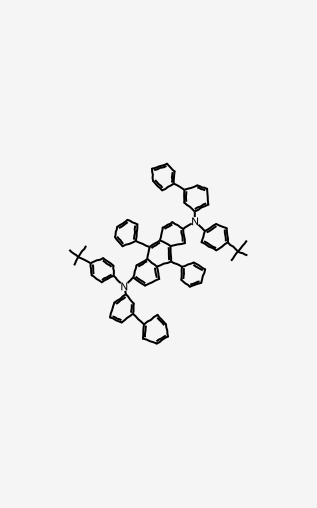 CC(C)(C)c1ccc(N(c2cccc(-c3ccccc3)c2)c2ccc3c(-c4ccccc4)c4cc(N(c5ccc(C(C)(C)C)cc5)c5cccc(-c6ccccc6)c5)ccc4c(-c4ccccc4)c3c2)cc1